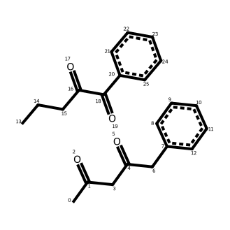 CC(=O)CC(=O)Cc1ccccc1.CCCC(=O)C(=O)c1ccccc1